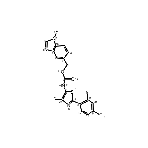 CCn1cnc2cc(COC(=O)Nc3sc(-c4ccc(F)cc4C)nc3C)ccc21